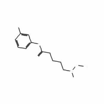 CC(C)(C)ON(C=O)CCCCC(=O)Nc1cccc(C(=O)O)c1